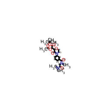 CC(=O)O[C@@H](C(=O)OC(C)(C)C)[C@H]1OCCN(c2cccc(C(=O)N(C)CC(=O)N(C)C)c2)C1=O